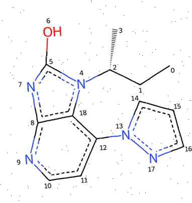 CC[C@@H](C)n1c(O)nc2nccc(-n3cccn3)c21